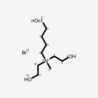 CCCCCCCCCCCC[N+](C)(CCO)CCO.[Br-]